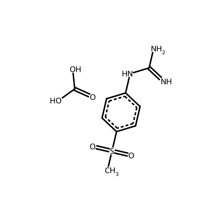 CS(=O)(=O)c1ccc(NC(=N)N)cc1.O=C(O)O